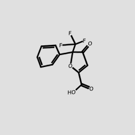 O=C(O)C1=CC(=O)C(c2ccccc2)(C(F)(F)F)O1